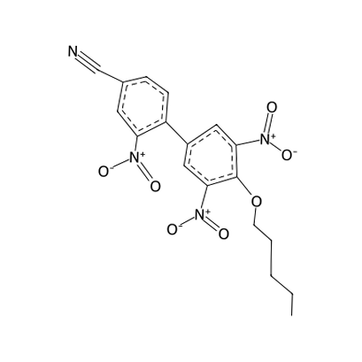 CCCCCOc1c([N+](=O)[O-])cc(-c2ccc(C#N)cc2[N+](=O)[O-])cc1[N+](=O)[O-]